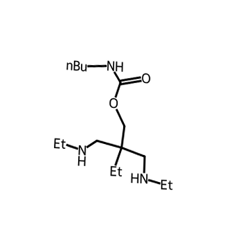 CCCCNC(=O)OCC(CC)(CNCC)CNCC